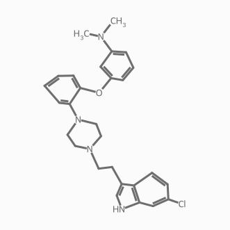 CN(C)c1cccc(Oc2ccccc2N2CCN(CCc3c[nH]c4cc(Cl)ccc34)CC2)c1